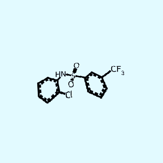 O=S(=O)(Nc1ccccc1Cl)c1cccc(C(F)(F)F)c1